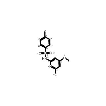 COc1cc(Cl)nc(NS(=O)(=O)c2ccc(C)cc2)c1